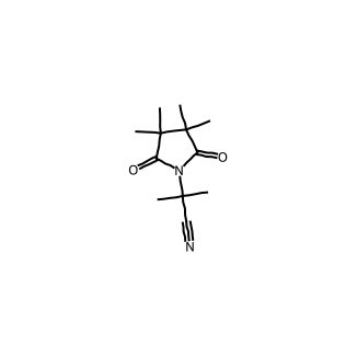 CC(C)(C#N)N1C(=O)C(C)(C)C(C)(C)C1=O